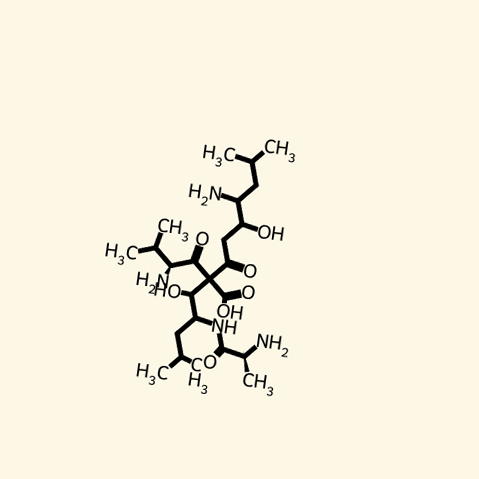 CC(C)CC(N)C(O)CC(=O)C(C(=O)O)(C(=O)[C@@H](N)C(C)C)C(O)C(CC(C)C)NC(=O)[C@H](C)N